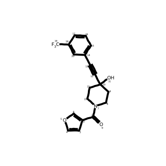 O=C(c1ccoc1)N1CCC(O)(C#Cc2cccc(C(F)(F)F)c2)CC1